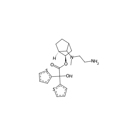 CN(CCN)C1C2CC[C@@H]1[C@H](OC(=O)C(O)(c1cccs1)c1cccs1)C2